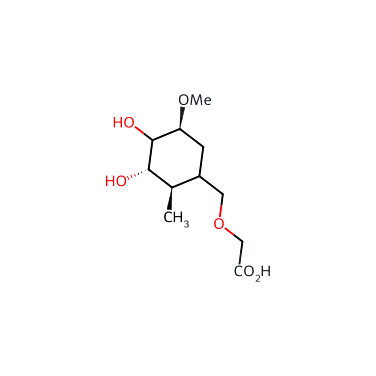 CO[C@H]1CC(COCC(=O)O)[C@@H](C)[C@H](O)C1O